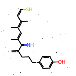 C=C(CCCc1ccc(O)cc1)C(=N)/C(C)=C/C(C)=C(C)/C=C\S